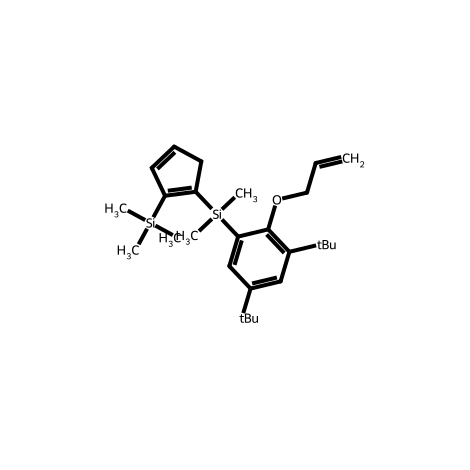 C=CCOc1c(C(C)(C)C)cc(C(C)(C)C)cc1[Si](C)(C)C1=C([Si](C)(C)C)C=CC1